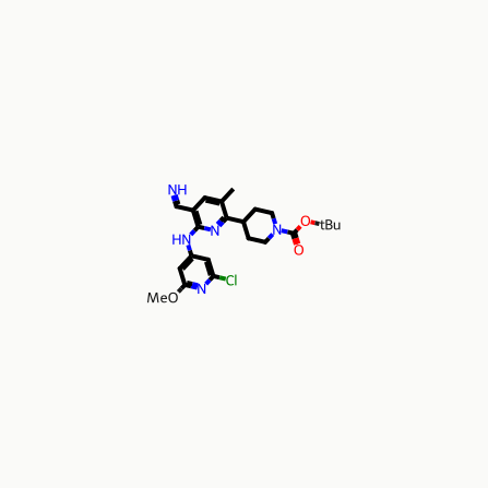 COc1cc(Nc2nc(C3CCN(C(=O)OC(C)(C)C)CC3)c(C)cc2C=N)cc(Cl)n1